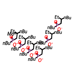 CCCCC(CC)CP(=O)([O-])CCCC.CCCCC(CC)CP(=O)([O-])CCCC.CCCCC(CC)CP(=O)([O-])CCCC.CCCCC(CC)CP(=O)([O-])CCCC.CCCCC(CC)CP(=O)([O-])CCCC.CCCCC(CC)CP(=O)([O-])CCCC.[Mo+6]